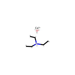 CCN(CC)CC.[Ca+2].[O-2]